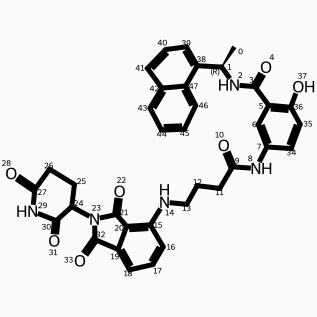 C[C@@H](NC(=O)c1cc(NC(=O)CCCNc2cccc3c2C(=O)N(C2CCC(=O)NC2=O)C3=O)ccc1O)c1cccc2ccccc12